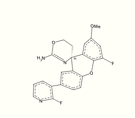 COc1cc(F)c2c(c1)[C@@]1(CCOC(N)=N1)c1cc(-c3cccnc3F)ccc1O2